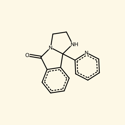 O=C1c2ccccc2C2(c3ccccn3)NCCN12